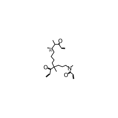 C=CC(=O)C(C)[C@H](C)CCCCC(C)(CCCN(C)C(=O)C=C)C(=O)C=C